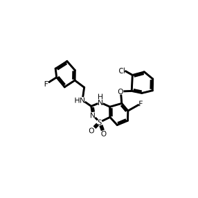 O=S1(=O)N=C(NCc2cccc(F)c2)Nc2c1ccc(F)c2Oc1ccccc1Cl